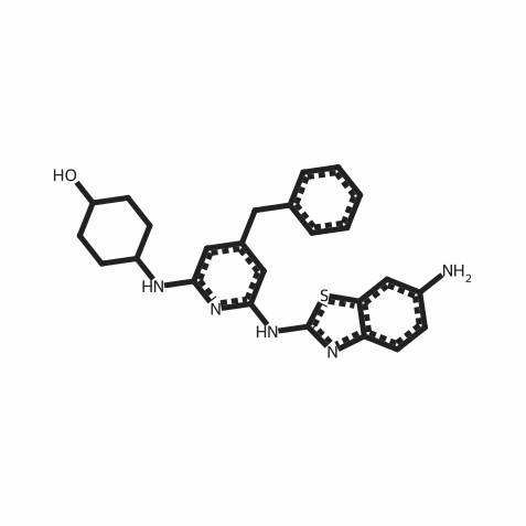 Nc1ccc2nc(Nc3cc(Cc4ccccc4)cc(NC4CCC(O)CC4)n3)sc2c1